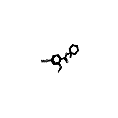 COc1ccc(C(=O)OC2(C)CCCCC2)c(OF)c1